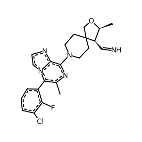 Cc1nc(N2CCC3(CC2)CO[C@@H](C)[C@H]3C=N)c2nccn2c1-c1cccc(Cl)c1F